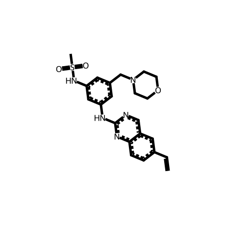 C=Cc1ccc2nc(Nc3cc(CN4CCOCC4)cc(NS(C)(=O)=O)c3)ncc2c1